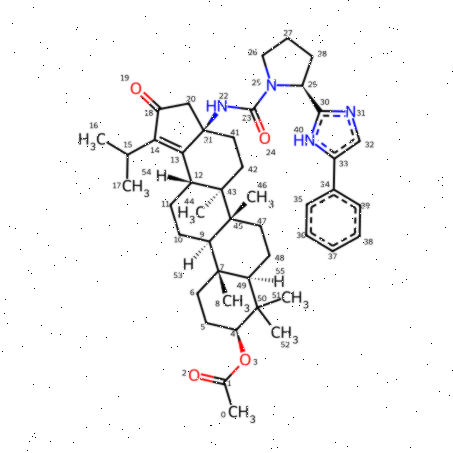 CC(=O)O[C@H]1CC[C@]2(C)[C@H]3CC[C@@H]4C5=C(C(C)C)C(=O)C[C@]5(NC(=O)N5CCC[C@H]5c5ncc(-c6ccccc6)[nH]5)CC[C@@]4(C)[C@]3(C)CC[C@H]2C1(C)C